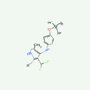 Cc1[nH]c(C#N)c(C(F)F)c1Nc1ccc(O[Si](C(C)C)(C(C)C)C(C)C)cc1